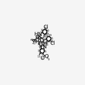 COC(=O)c1cc2nn3c(c2cc1C)C[C@H]1[C@@H]3[C@H](c2cccc(Cl)c2F)[C@@]2(Cc3ccc(Cl)cc3NC2=O)N1CC1CC1